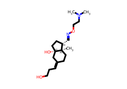 CN(C)CCON=C[C@H]1CC[C@]2(O)CC(=CCCO)CC[C@]12C